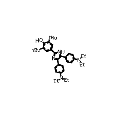 CCN(CC)c1ccc(-c2nc(-c3cc(C(C)(C)C)c(O)c(C(C)(C)C)c3)[nH]c2-c2ccc(N(CC)CC)cc2)cc1